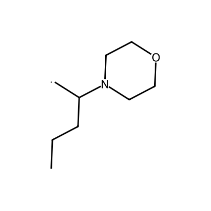 [CH2]C(CCC)N1CCOCC1